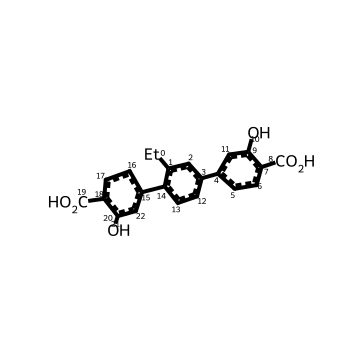 CCc1cc(-c2ccc(C(=O)O)c(O)c2)ccc1-c1ccc(C(=O)O)c(O)c1